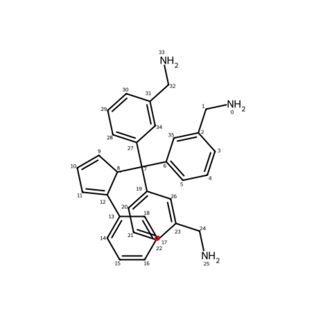 NCc1cccc(C([C]2C=CC=C2c2ccccc2)(c2cccc(CN)c2)c2cccc(CN)c2)c1